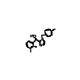 Cc1ccc(Cn2ccnc2C(O)c2cccc(C)c2C)cc1